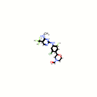 CNc1nc(Nc2cc(Cl)c(C3CN(C=O)CCO3)cc2F)ncc1C(F)(F)F